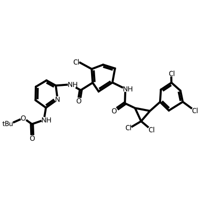 CC(C)(C)OC(=O)Nc1cccc(NC(=O)c2cc(NC(=O)C3C(c4cc(Cl)cc(Cl)c4)C3(Cl)Cl)ccc2Cl)n1